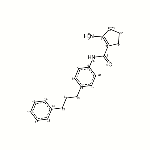 NC1=C(C(=O)Nc2ccc(CCCc3ccccc3)cc2)CCS1